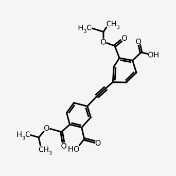 CC(C)OC(=O)c1ccc(C#Cc2ccc(C(=O)O)c(C(=O)OC(C)C)c2)cc1C(=O)O